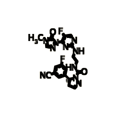 Cn1cnn(-c2nc(NCCNC(=O)N3N=CC[C@H]3c3cc(F)cc(C#N)c3)ncc2F)c1=O